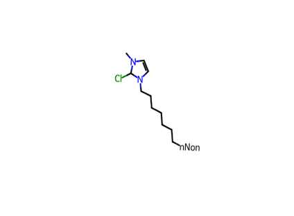 CCCCCCCCCCCCCCCCN1C=CN(C)C1Cl